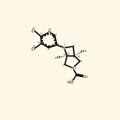 O=C(O)N1C[C@@H]2CN(c3cnc(Cl)c(Cl)c3)[C@@H]2C1